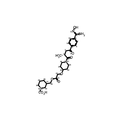 C[C@H](CC(=O)c1ccc(/C(N)=N/O)cc1)C(=O)N1CCC(OCC(=O)OCC2CCCN(C(=O)O)C2)CC1